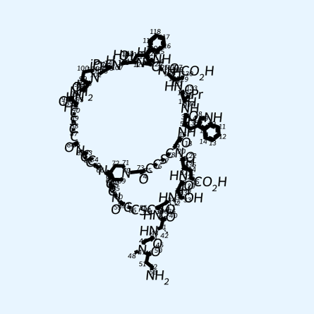 CC(C)[C@@H]1NC(=O)[C@H](Cc2c[nH]c3ccccc23)NC(=O)/C2=N/C(=O)[C@H](CCC(=O)O)NC(=O)[C@H]([C@@H](C)O)NC(=O)[C@@H](NC(=O)[C@H](C)NC(=O)CN(C)C(=O)CCN)CSCCC(=O)N3CCC(CC3)N(C3CCN(CC3)C(=O)CCSC2)C2CCN(CC2)C(=O)CCSC[C@@H](C(N)=O)NC(=O)[C@@H]2CCCN2C(=O)[C@H](C(C)C)NC(=O)[C@H](Cc2c[nH]c3ccccc23)NC(=O)CNC(=O)[C@H](CC(=O)O)NC1=O